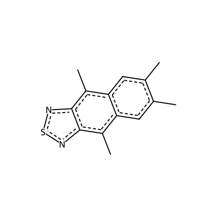 Cc1cc2c(C)c3nsnc3c(C)c2cc1C